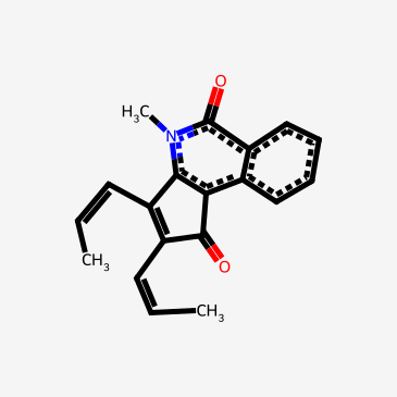 C/C=C\C1=C(/C=C\C)c2c(c3ccccc3c(=O)n2C)C1=O